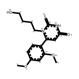 COc1ccc(-c2cc(=O)[nH]c(=S)n2CCCCO)c(OC)c1